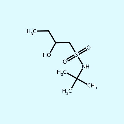 CCC(O)CS(=O)(=O)NC(C)(C)C